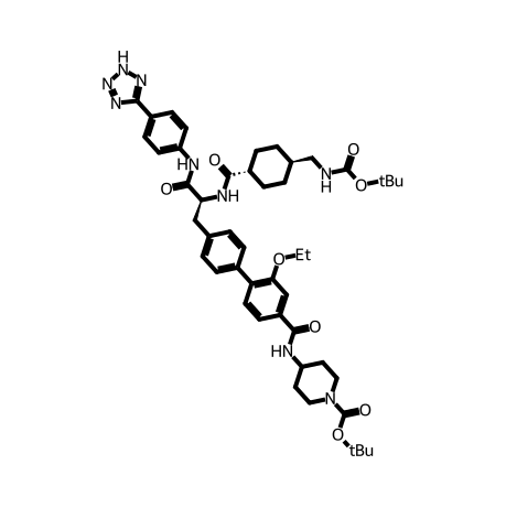 CCOc1cc(C(=O)NC2CCN(C(=O)OC(C)(C)C)CC2)ccc1-c1ccc(C[C@H](NC(=O)[C@H]2CC[C@H](CNC(=O)OC(C)(C)C)CC2)C(=O)Nc2ccc(-c3nn[nH]n3)cc2)cc1